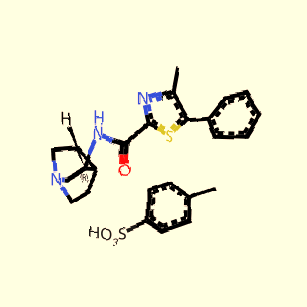 Cc1ccc(S(=O)(=O)O)cc1.Cc1nc(C(=O)N[C@H]2CN3CCC2CC3)sc1-c1ccccc1